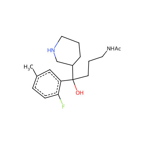 CC(=O)NCCCC(O)(c1cc(C)ccc1F)C1CCCNC1